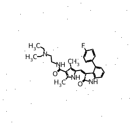 CCN(CC)CCNC(=O)c1c(C)[nH]c(C=C2C(=O)Nc3cccc(-c4ccc(F)cc4)c32)c1C